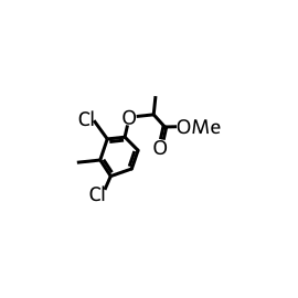 COC(=O)C(C)Oc1ccc(Cl)c(C)c1Cl